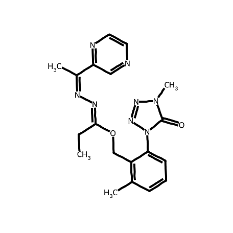 CC/C(=N\N=C(\C)c1cnccn1)OCc1c(C)cccc1-n1nnn(C)c1=O